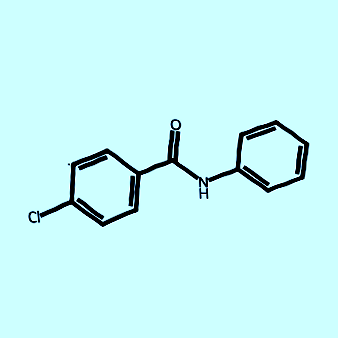 O=C(Nc1ccccc1)c1c[c]c(Cl)cc1